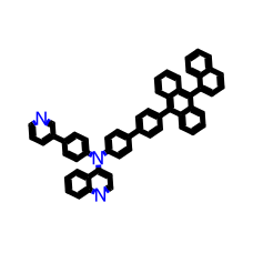 c1cncc(-c2ccc(N(c3ccc(-c4ccc(-c5c6ccccc6c(-c6cccc7ccccc67)c6ccccc56)cc4)cc3)c3ccnc4ccccc34)cc2)c1